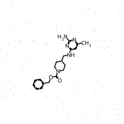 Cc1cc(NCC2CCN(C(=O)OCc3ccccc3)CC2)nc(N)n1